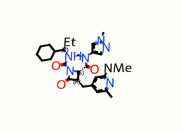 CC[C@@H](NC(=O)N1C(=O)[C@H](Cc2cc(C)nc(NC)c2)[C@H]1C(=O)N(C)c1cnn(C)c1)C1CCCCC1